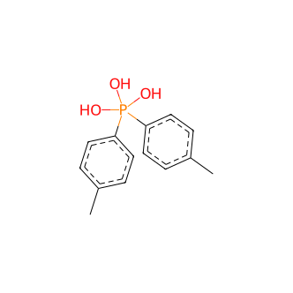 Cc1ccc(P(O)(O)(O)c2ccc(C)cc2)cc1